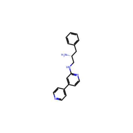 N[C@@H](CNc1cc(-c2ccncc2)ccn1)Cc1ccccc1